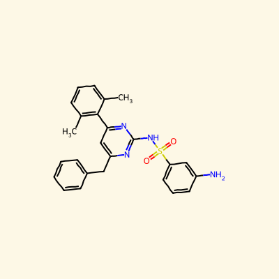 Cc1cccc(C)c1-c1cc(Cc2ccccc2)nc(NS(=O)(=O)c2cccc(N)c2)n1